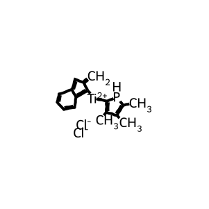 C=C1C=c2ccccc2=[C]1[Ti+2][c]1[pH]c(C)c(C)c1C.[Cl-].[Cl-]